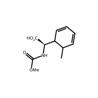 COC(=O)N[C@@H](C(=O)O)C1C=CC=CC1C